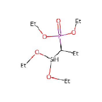 CCO[SiH](OCC)C(CC)P(=O)(OCC)OCC